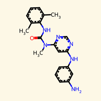 Cc1cccc(C)c1NC(=O)N(C)c1cc(Nc2cccc(N)c2)ncn1